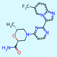 C[C@@H]1CN(c2ccnc(-c3cnc4ccc(C(F)(F)F)cn34)n2)C[C@@H](C(N)=O)O1